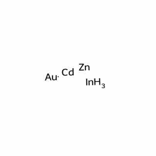 [Au].[Cd].[InH3].[Zn]